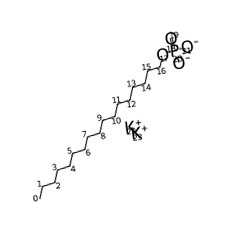 CCCCCCCCCCCCCCCCCOP(=O)([O-])[O-].[K+].[K+]